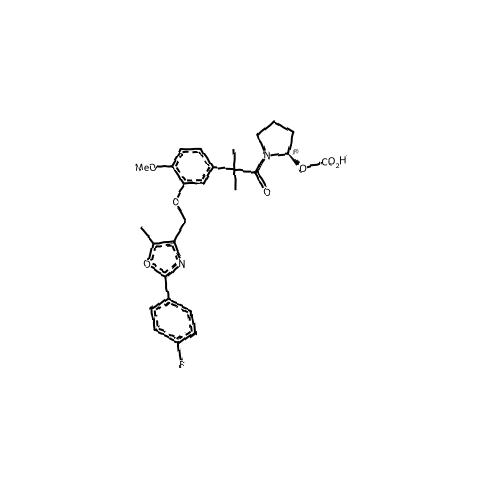 COc1ccc(C(C)(C)C(=O)N2CCC[C@H]2OC(=O)O)cc1OCc1nc(-c2ccc(F)cc2)oc1C